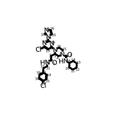 O=C(CC1CN(C(=O)NC2CCCCC2)CCN1c1cc(Cl)nc(-n2ccnc2)n1)NCCc1ccc(Cl)cc1